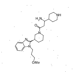 COCCCn1c([C@@H]2CCCN(C(=O)CC(N)C3CCNCC3)C2)nc2ccccc21